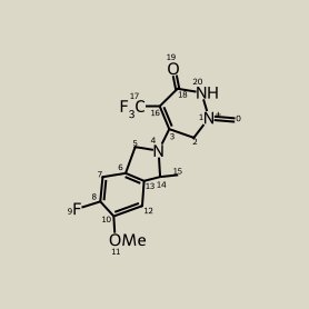 C=[N+]1CC(N2Cc3cc(F)c(OC)cc3C2C)=C(C(F)(F)F)C(=O)N1